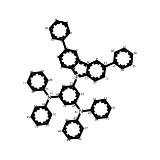 c1ccc(-c2ccc3c(c2)c2cc(-c4ccccc4)ccc2p3-c2cc(N(c3ccccc3)c3ccccc3)cc(N(c3ccccc3)c3ccccc3)c2)cc1